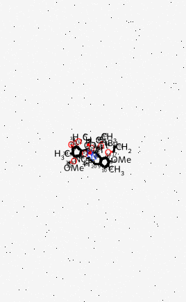 C=CCOC(=O)N1[C@@H]2c3c(cc(C)c(OC)c3OCC=C)C[C@H]1[C@@H](C#N)N([C@H](C(=O)OCC)c1cc(OCOC)c(C)c3c1OCO3)[C@H]2CO[Si](C)(C)C(C)(C)C